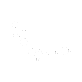 O=C(Nc1ccc(-c2ccc3ncc(N4CCN(c5ccncc5)CC4)nc3c2)cc1)c1cccs1